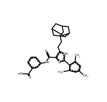 Cc1cc(C)c(-c2nc(C(=O)Nc3cccc(C(=O)O)c3)c(CCC34CC5CC(CC(C5)C3)C4)[nH]2)c(C)c1